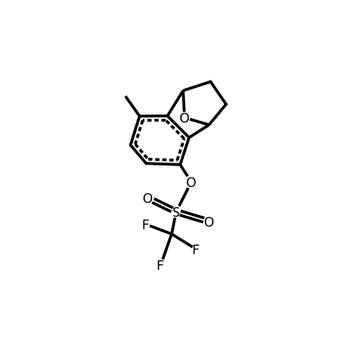 Cc1ccc(OS(=O)(=O)C(F)(F)F)c2c1C1CCC2O1